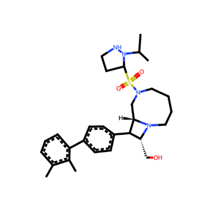 Cc1cccc(-c2ccc(C3[C@@H](CO)N4CCCCN(S(=O)(=O)C5CCNN5C(C)C)C[C@@H]34)cc2)c1C